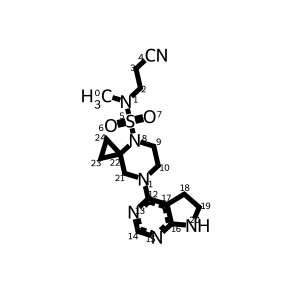 CN(CCC#N)S(=O)(=O)N1CCN(c2ncnc3c2CCN3)CC12CC2